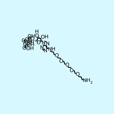 NCCCOCCOCCOCCOCCOCCCNc1ncnc2c1ncn2[C@@H]1O[C@H](COP(=O)(O)OP(=O)(O)OP(=O)(O)O)[C@H](O)C1O